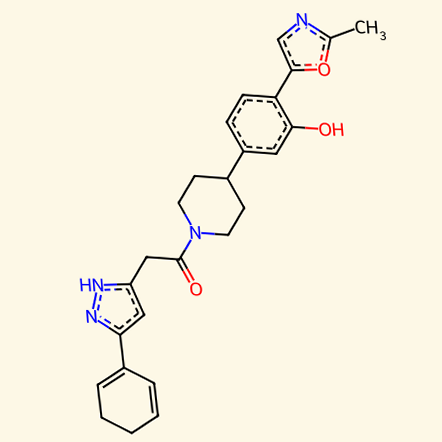 Cc1ncc(-c2ccc(C3CCN(C(=O)Cc4cc(C5=CCCC=C5)n[nH]4)CC3)cc2O)o1